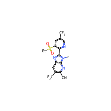 CCS(=O)(=O)c1cc(C(F)(F)F)cnc1-c1nc2cc(C(F)(F)F)c(C#N)nc2n1C